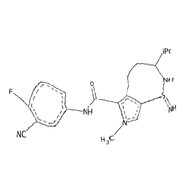 CC(C)C1CCc2c(cn(C)c2C(=O)Nc2ccc(F)c(C#N)c2)S(=N)N1